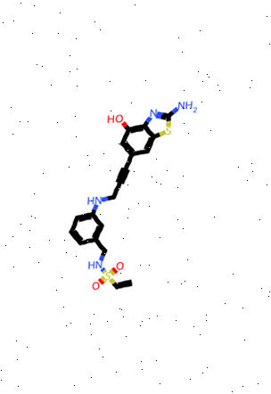 C=CS(=O)(=O)NCc1cccc(NCC#Cc2cc(O)c3nc(N)sc3c2)c1